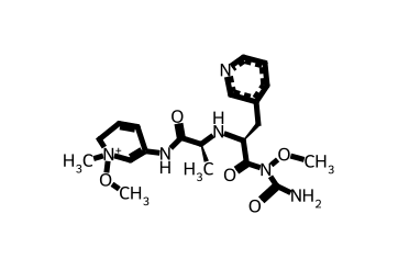 CON(C(N)=O)C(=O)[C@H](Cc1cccnc1)N[C@@H](C)C(=O)NC1=C[N+](C)(OC)CC=C1